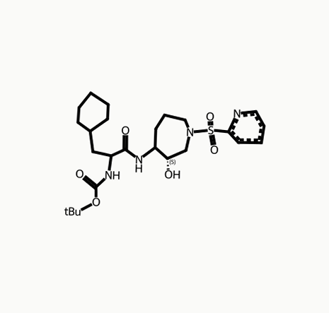 CC(C)(C)OC(=O)NC(CC1CCCCC1)C(=O)NC1CCCN(S(=O)(=O)c2ccccn2)C[C@@H]1O